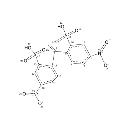 C=C(c1ccc([N+](=O)[O-])cc1S(=O)(=O)O)c1ccc([N+](=O)[O-])cc1S(=O)(=O)O